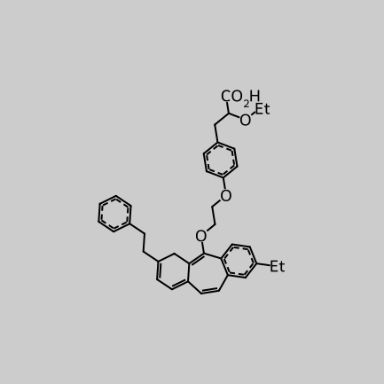 CCOC(Cc1ccc(OCCOC2=C3CC(CCc4ccccc4)=CC=C3C=Cc3cc(CC)ccc32)cc1)C(=O)O